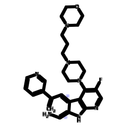 C=C(/C=c1\c(=C/N)[nH]c2ncc(F)c(N3CCN(CCCN4CCOCC4)CC3)c12)c1cccnc1